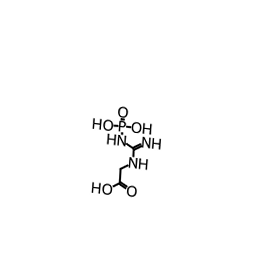 N=C(NCC(=O)O)NP(=O)(O)O